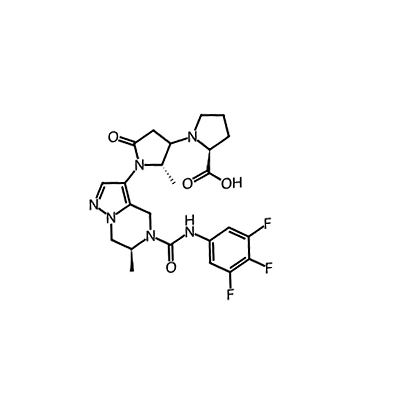 C[C@H]1Cn2ncc(N3C(=O)CC(N4CCC[C@H]4C(=O)O)[C@@H]3C)c2CN1C(=O)Nc1cc(F)c(F)c(F)c1